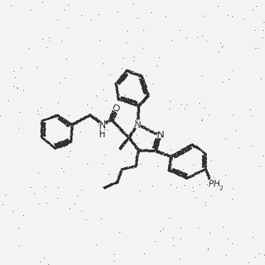 CCCCC1C(c2ccc(P)cc2)=NN(c2ccccc2)C1(C)C(=O)NCc1ccccc1